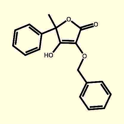 CC1(c2ccccc2)OC(=O)C(OCc2ccccc2)=C1O